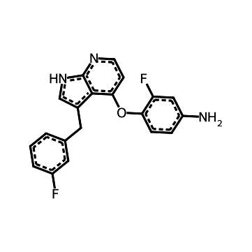 Nc1ccc(Oc2ccnc3[nH]cc(Cc4cccc(F)c4)c23)c(F)c1